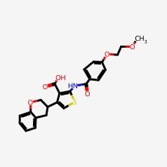 COCCOc1ccc(C(=O)Nc2scc(C3COc4ccccc4C3)c2C(=O)O)cc1